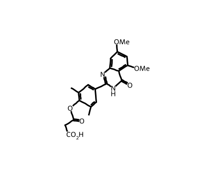 COc1cc(OC)c2c(=O)[nH]c(-c3cc(C)c(OC(=O)CC(=O)O)c(C)c3)nc2c1